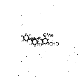 COc1cc(C=O)cc(Oc2ccc(-c3ccccc3)cc2)c1OC